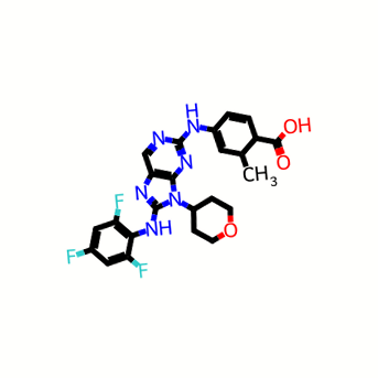 CC1C=C(Nc2ncc3nc(Nc4c(F)cc(F)cc4F)n(C4CCOCC4)c3n2)C=CC1C(=O)O